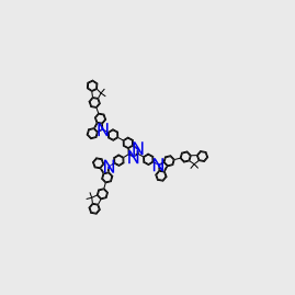 CC1(C)c2ccccc2-c2ccc(-c3ccc4c(c3)c3ccccc3n4-c3ccc(-c4ccc5nc(-c6ccc(-n7c8ccccc8c8cc(-c9ccc%10c(c9)C(C)(C)c9ccccc9-%10)ccc87)cc6)nc(-c6ccc(-n7c8ccccc8c8cc(-c9ccc%10c(c9)C(C)(C)c9ccccc9-%10)ccc87)cc6)c5c4)cc3)cc21